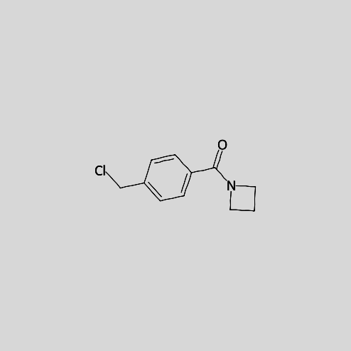 O=C(c1ccc(CCl)cc1)N1CCC1